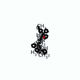 COc1ccc(C(Nc2ncnc3c2ncn3[C@@H]2O[C@@](CO)(CO[Si](c3ccccc3)(c3ccccc3)C(C)(C)C)[C@H]3OC4(CCCC4)O[C@]32C)(c2ccccc2)c2ccccc2)cc1